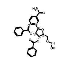 NC(=O)c1ccc[n+]([C@H]2O[C@@H](COPO)[C@H](OC(=O)c3ccccc3)[C@@H]2OC(=O)c2ccccc2)c1